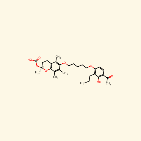 CCCc1c(OCCCCCOc2c(C)c(C)c3c(c2C)CC[C@](C)(OC(=O)O)O3)ccc(C(C)=O)c1O